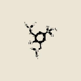 CS(=O)(=O)c1cc(C[N+](=O)[O-])c(O)c(C[N+](=O)[O-])c1